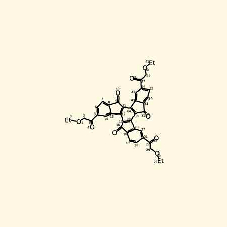 CCOCC(=O)c1ccc2c(=O)c3c(c2c1)c1c(=O)c2ccc(C(=O)COCC)cc2c1c1c(=O)c2ccc(C(=O)COCC)cc2c31